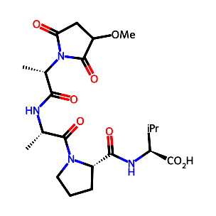 COC1CC(=O)N([C@@H](C)C(=O)N[C@@H](C)C(=O)N2CCC[C@H]2C(=O)N[C@H](C(=O)O)C(C)C)C1=O